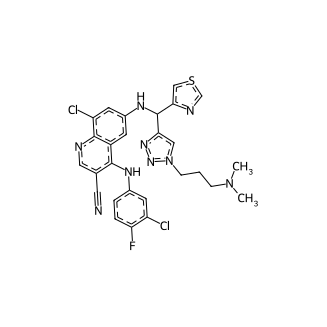 CN(C)CCCn1cc(C(Nc2cc(Cl)c3ncc(C#N)c(Nc4ccc(F)c(Cl)c4)c3c2)c2cscn2)nn1